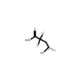 [2H][C@H](O)CC([2H])([2H])C(=O)OC